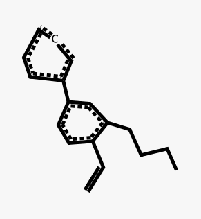 C=Cc1ccc(-c2ccccc2)cc1CCCC